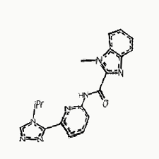 CC(C)n1cnnc1-c1cccc(NC(=O)c2nc3ccccc3n2C)n1